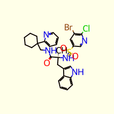 C[C@@](Cc1c[nH]c2ccccc12)(NS(=O)(=O)c1cnc(Cl)c(Br)c1)C(=O)NCC1(c2ccccn2)CCCCC1